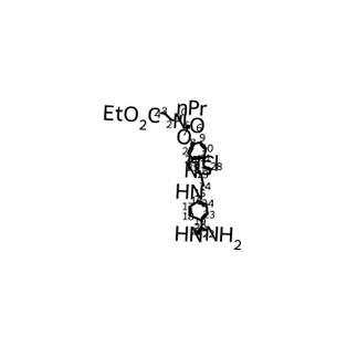 CCCN(CCC(=O)OCC)C(=O)Oc1ccc2sc(CNc3ccc(C(=N)N)cc3)nc2c1.Cl